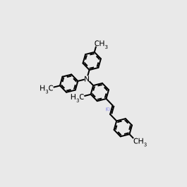 Cc1ccc(/C=C/c2ccc(N(c3ccc(C)cc3)c3ccc(C)cc3)c(C)c2)cc1